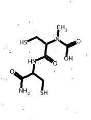 CN(C(=O)O)C(CS)C(=O)NC(CS)C(N)=O